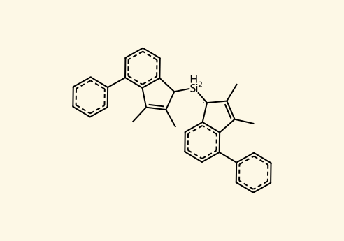 CC1=C(C)c2c(cccc2-c2ccccc2)[C]1[SiH2][C]1C(C)=C(C)c2c1cccc2-c1ccccc1